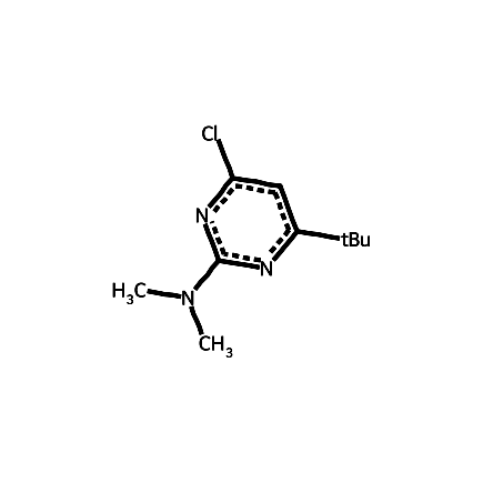 CN(C)c1nc(Cl)cc(C(C)(C)C)n1